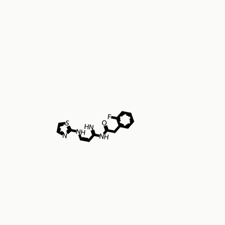 N=C(/C=C\Nc1nccs1)NC(=O)Cc1ccccc1F